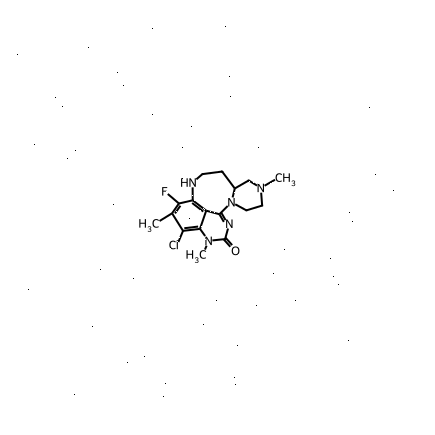 Cc1c(F)c2c3c(nc(=O)n(C)c3c1Cl)N1CCN(C)CC1CCN2